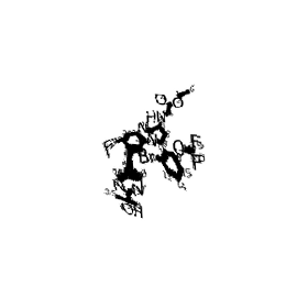 CCOC(=O)CN[C@@H]1C[C@H](c2c(Br)cccc2OC(F)F)n2c1nc1cc(F)c(-c3cnc(C(C)(C)O)nc3)cc12